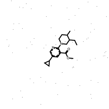 CCC1CN(c2ncc(C3CC3)cc2C(=O)OC)CCC1C